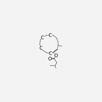 CC(C)CC(=O)O/C1=C/C(C)CCCCCCCCCCCC1